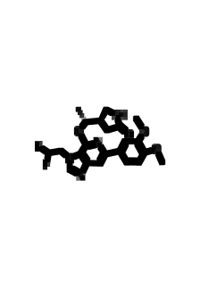 COc1ccc(-c2cc3ncn(CC(F)F)c3c(O[C@H](C)[C@H]3CNC(=O)C3)n2)cc1OC